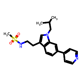 CC(C)Cn1cc(CCNS(C)(=O)=O)c2ccc(-c3ccncc3)cc21